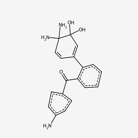 Nc1ccc(C(=O)c2ccccc2C2=CC(O)(O)C(N)(N)C=C2)cc1